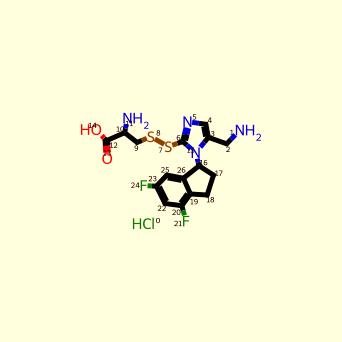 Cl.NCc1cnc(SSCC(N)C(=O)O)n1C1CCc2c(F)cc(F)cc21